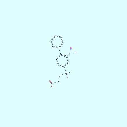 CC(O)(CCC(=O)O)c1ccc(-c2ccccc2)c([N+](=O)[O-])c1